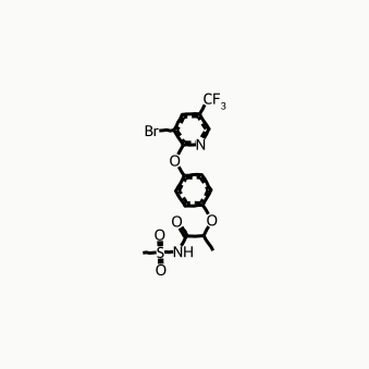 CC(Oc1ccc(Oc2ncc(C(F)(F)F)cc2Br)cc1)C(=O)NS(C)(=O)=O